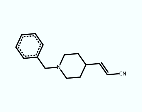 N#C/C=C/C1CCN(Cc2ccccc2)CC1